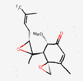 CO[C@@H]1C(=O)C=C(C)[C@]2(CO2)[C@H]1C1(C)O[C@@H]1C/C=C(\C)C(F)(F)F